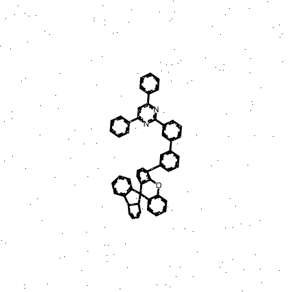 C1=CC2c3ccccc3C3(c4ccccc4Oc4c(-c5cccc(-c6cccc(-c7nc(-c8ccccc8)cc(-c8ccccc8)n7)c6)c5)cccc43)C2C=C1